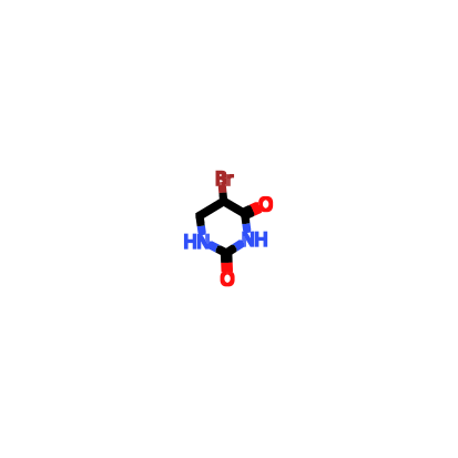 O=C1NCC(Br)C(=O)N1